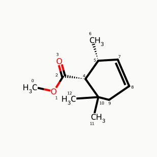 COC(=O)[C@@H]1[C@H](C)C=CCC1(C)C